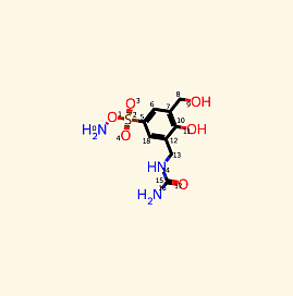 NOS(=O)(=O)c1cc(CO)c(O)c(CNC(N)=O)c1